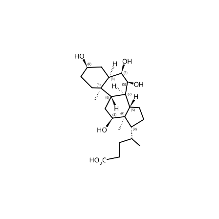 CC(CCC(=O)O)[C@H]1CC[C@H]2[C@@H]3[C@H](O)[C@H](O)[C@@H]4C[C@H](O)CC[C@]4(C)[C@H]3C[C@H](O)[C@]12C